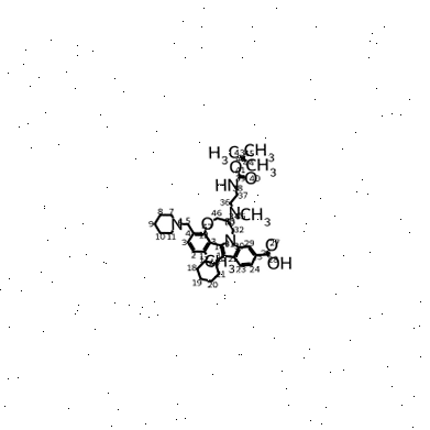 Cc1ccc(CN2CCCCC2)c2c1-c1c(C3CCCCC3)c3ccc(C(=O)O)cc3n1C[C@@H](N(C)CCNC(=O)OC(C)(C)C)CO2